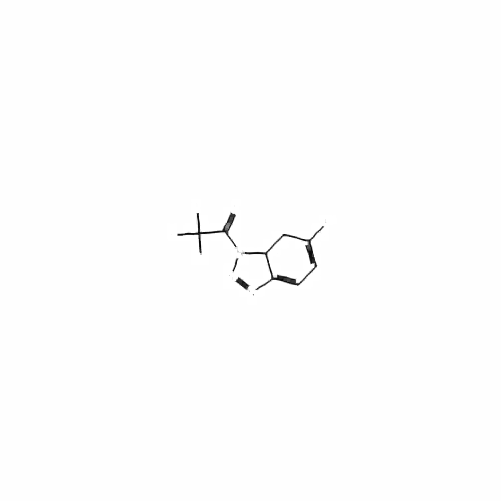 O=C(N1N=NC2=CC=C(F)CC21)C(F)(F)F